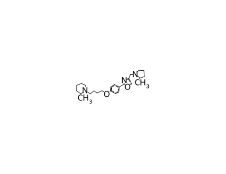 CC1CCCCN1CCCCOc1ccc(-c2nc(CN3CCCC3C)co2)cc1